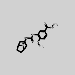 CNC(=O)c1ccc(OC)c(NC(=O)NC2CC3CCC(C2)N3C)c1